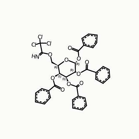 N=C(OC[C@H]1O[C@H](OC(=O)c2ccccc2)[C@H](OC(=O)c2ccccc2)[C@@H](OC(=O)c2ccccc2)[C@H]1OC(=O)c1ccccc1)C(Cl)(Cl)Cl